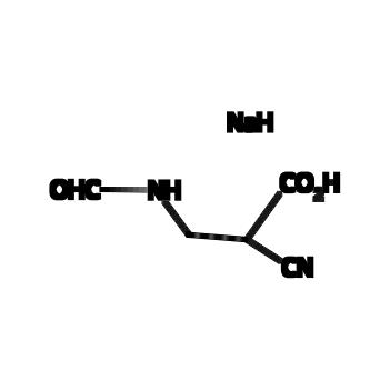 N#CC(CNC=O)C(=O)O.[NaH]